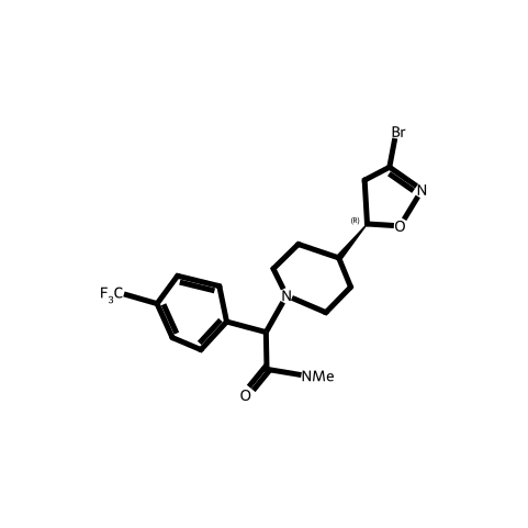 CNC(=O)C(c1ccc(C(F)(F)F)cc1)N1CCC([C@H]2CC(Br)=NO2)CC1